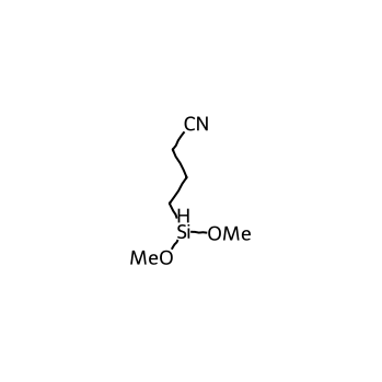 CO[SiH](CCCC#N)OC